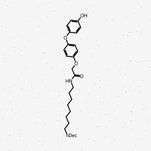 CCCCCCCCCCCCCCCCCCNC(=O)COc1ccc(Oc2ccc(O)cc2)cc1